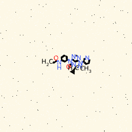 C=CC(=O)Nc1cccc(-n2c(=O)n(CC3CC3)c3c(N(c4cccnc4)N(C)C)ncnc32)c1